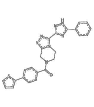 O=C(c1ccc(-c2cccs2)cc1)N1CCn2c(nnc2-c2n[nH]c(-c3ccccc3)n2)C1